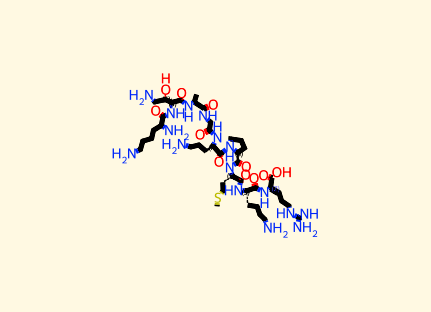 CSCC[C@H](NC(=O)[C@@H]1CCCN1C(=O)[C@@H](CCCN)NC(=O)CNC(=O)C(C)NC(=O)[C@@H](NC(=O)C(N)CCCCN)[C@@H](O)CN)C(=O)N[C@@H](CCCCN)C(=O)N/C(=C\CCNC(=N)N)C(=O)O